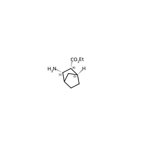 CCOC(=O)[C@@H]1[C@H]2CCC(C2)[C@@H]1N